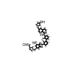 COCC1CCN(Cc2cc(C#N)c3oc(-c4cccc(-c5cccc(Nc6nccc7cc(CN8CC[C@@H](O)C8)cnc67)c5C)c4C)nc3c2)C1